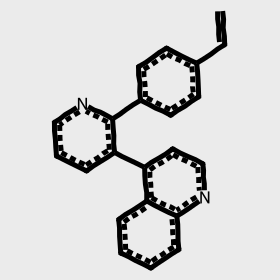 C=Cc1ccc(-c2ncccc2-c2ccnc3ccccc23)cc1